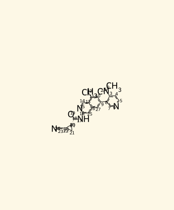 CN(C)c1ccncc1-c1cc(Cl)c2cnc(NC(=O)[C@@H]3C[C@H]3C#N)cc2c1